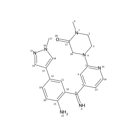 CN1CCN(c2cc(C(=N)c3cc(-c4cnn(C)c4)ccc3N)ccn2)CC1=O